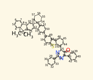 CC1(C)c2ccccc2-c2cc3c(cc21)-c1cc(-c2ccc4sc5c(-c6nc(-c7ccccc7)nc7c6oc6ccccc67)cccc5c4c2)ccc1C31CCCCC1